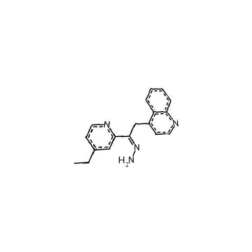 CCc1ccnc(C(Cc2ccnc3ccccc23)=NN)c1